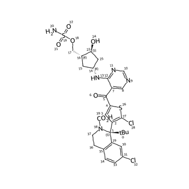 CC(C)(C)[C@@]1(c2cc(C(=O)c3cncnc3N[C@@H]3C[C@H](COS(N)(=O)=O)[C@@H](O)C3)sc2Cl)c2cc(Cl)ccc2CCN1C(=O)O